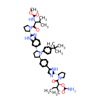 CCC(C)[C@H](OC(N)=O)C(=O)N1CCC[C@H]1c1ncc(-c2ccc([C@H]3CC[C@H](c4ccc5nc([C@@H]6CCCN6C(=O)[C@@H](NC(=O)OC)C(C)C)[nH]c5c4)N3c3ccc(C(C)(C)C)cc3)cc2)[nH]1